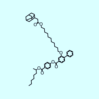 CCCCCCC(C)OC(=O)c1ccc(OC(=O)c2ccc(-c3ccccc3)c(OCCCCCCCCCCCOC(=O)CC3C4CC5CC(C4)CC3C5)c2)cc1